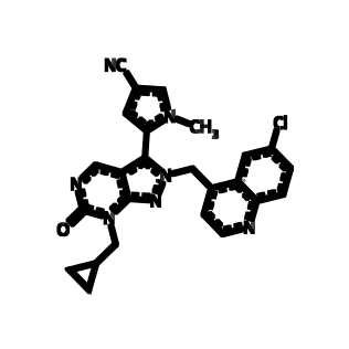 Cn1cc(C#N)cc1-c1c2cnc(=O)n(CC3CC3)c2nn1Cc1ccnc2ccc(Cl)cc12